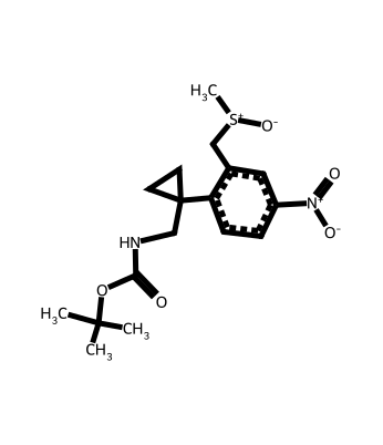 C[S+]([O-])Cc1cc([N+](=O)[O-])ccc1C1(CNC(=O)OC(C)(C)C)CC1